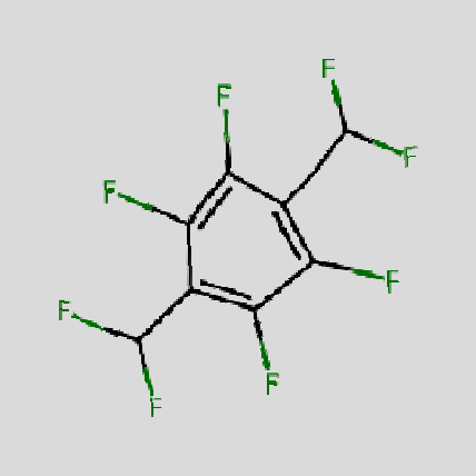 Fc1c(F)c(C(F)F)c(F)c(F)c1C(F)F